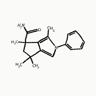 Cc1c2c(cn1-c1ccccc1)C(C)(C)CC2(C)C(N)=O